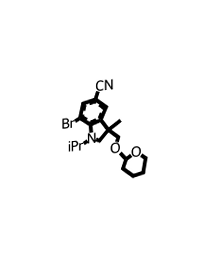 CC(C)N1CC(C)(COC2CCCCO2)c2cc(C#N)cc(Br)c21